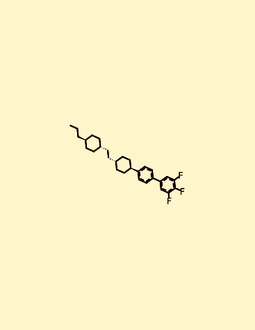 CCC[C@H]1CC[C@H](CC[C@H]2CC[C@H](c3ccc(-c4cc(F)c(F)c(F)c4)cc3)CC2)CC1